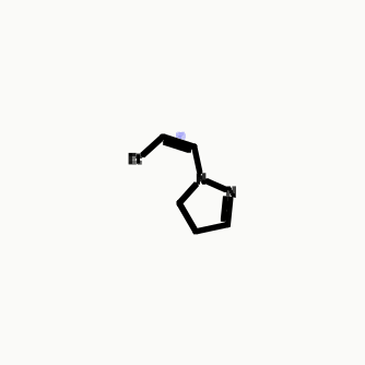 CC/C=C\N1CCC=N1